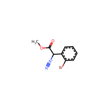 COC(=O)C([N+]#N)c1ccccc1Br